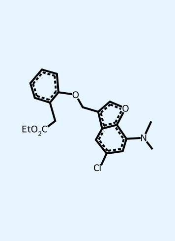 CCOC(=O)Cc1ccccc1OCc1coc2c(N(C)C)cc(Cl)cc12